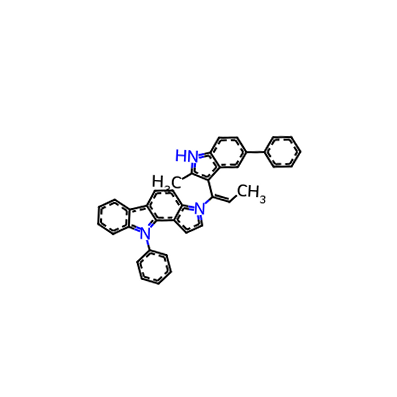 C/C=C(\c1c(C)[nH]c2ccc(-c3ccccc3)cc12)n1ccc2c1ccc1c3ccccc3n(-c3ccccc3)c12